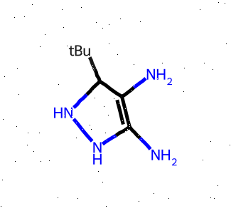 CC(C)(C)C1NNC(N)=C1N